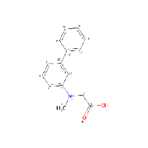 CN(CC(=O)O)c1cccc(-c2ccccc2)c1